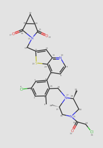 Cc1cc(Cl)cc(-c2ccnc3cc(CN4C(=O)C5CC5C4=O)sc23)c1CN1[C@@H](C)CN(C(=O)CCl)C[C@@H]1C